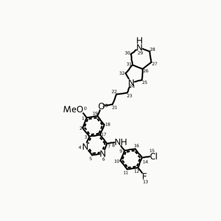 COc1cc2ncnc(Nc3ccc(F)c(Cl)c3)c2cc1OCCCN1CC2CCNCC2C1